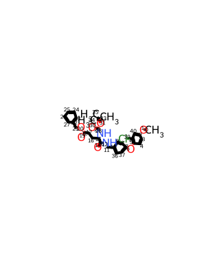 COc1ccc(Oc2ccc(CNC(=O)C(CCC(=O)OCc3ccccc3)NC(=O)OC(C)(C)C)cc2)c(Cl)c1